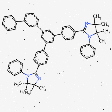 CC1(C)N=C(c2ccc(-c3cc(-c4ccc(C5=NC(C)(C)C(C)(C)N5c5ccccc5)cc4)cc(-c4cccc(-c5ccccc5)c4)c3)cc2)N(c2ccccc2)C1(C)C